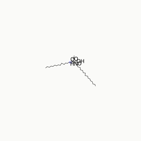 CCCCCCCCCCCCC/C=C/[C@@H](OC(C)=O)[C@H](CO)NC(=O)CCCCCCCCCCCCCCC